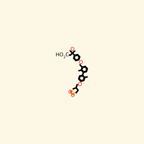 Cc1cc(OCC2CCS(=O)(=O)C2)ccc1-c1cccc(COc2ccc(C3(CC(=O)O)COC3)cc2)c1C